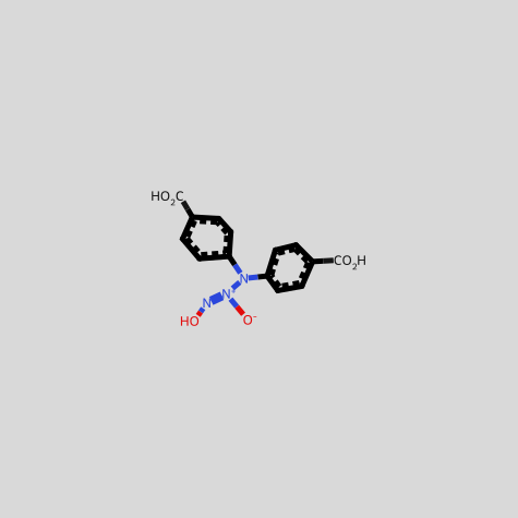 O=C(O)c1ccc(N(c2ccc(C(=O)O)cc2)/[N+]([O-])=N/O)cc1